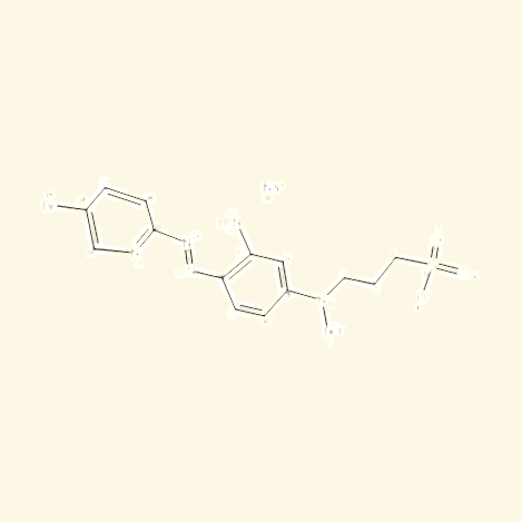 CCCN(CCCS(=O)(=O)[O-])c1ccc(N=Nc2ccc(Br)cn2)c(N)c1.[Na+]